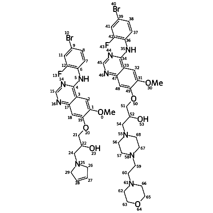 COc1cc2c(Nc3ccc(Br)cc3F)ncnc2cc1OCC(O)CN1CC=CC1.COc1cc2c(Nc3ccc(Br)cc3F)ncnc2cc1OCC(O)CN1CCN(CCN2CCOCC2)CC1